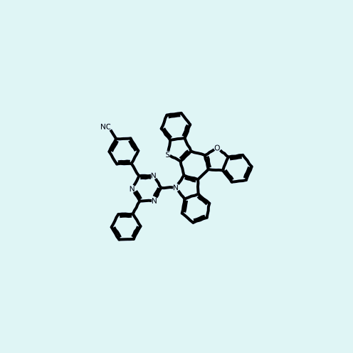 N#Cc1ccc(-c2nc(-c3ccccc3)nc(-n3c4ccccc4c4c5c6ccccc6oc5c5c6ccccc6sc5c43)n2)cc1